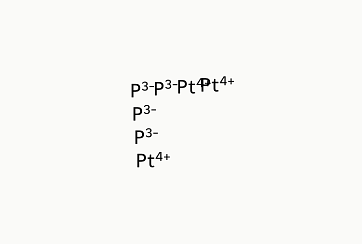 [P-3].[P-3].[P-3].[P-3].[Pt+4].[Pt+4].[Pt+4]